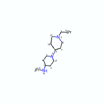 CC(C)CN1CCC(N2CCC(NC(C)C)CC2)CC1